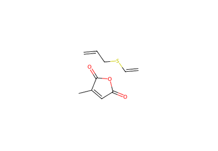 C=CCSC=C.CC1=CC(=O)OC1=O